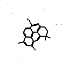 Cc1cc(Br)c2cc3c4c(cc(Br)c5ccc1c2c54)CCC3(C)C